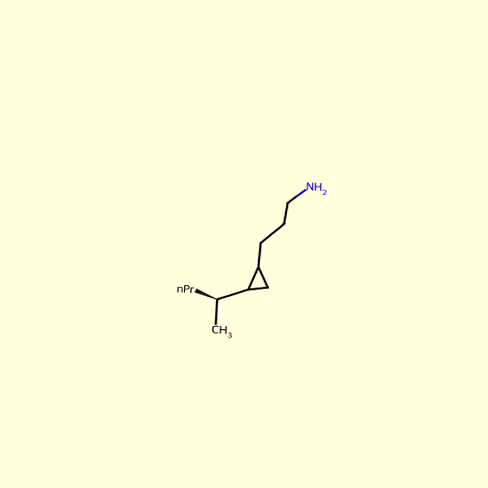 CCC[C@H](C)C1CC1CCCN